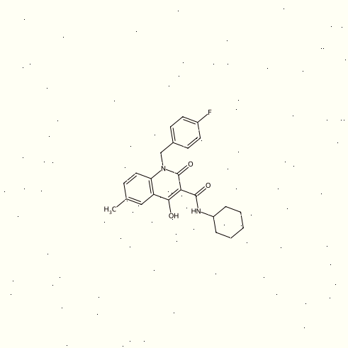 Cc1ccc2c(c1)c(O)c(C(=O)NC1CCCCC1)c(=O)n2Cc1ccc(F)cc1